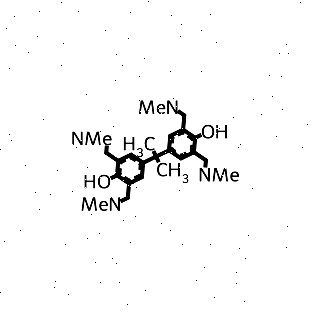 CNCc1cc(C(C)(C)c2cc(CNC)c(O)c(CNC)c2)cc(CNC)c1O